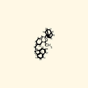 CCO[C@@H](CN1CCC(CN2Sc3cccc4cccc2c34)CC1)C12CC3CC(CC(C3)C1)C2